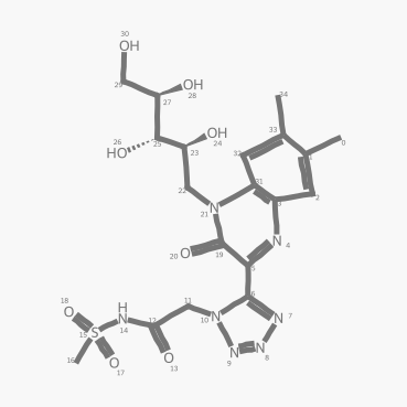 Cc1cc2nc(-c3nnnn3CC(=O)NS(C)(=O)=O)c(=O)n(C[C@H](O)[C@H](O)[C@H](O)CO)c2cc1C